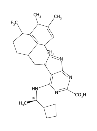 CC1=CC2(C)C3=C(C1C)C(C(F)(F)F)CCC3Cn1c2nc2nc(C(=O)O)nc(N[C@H](C)C3CCC3)c21